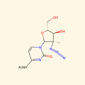 CC(=O)Nc1ccn(C2O[C@H](CO)[C@@H](O)[C@@]2(C)N=[N+]=[N-])c(=O)n1